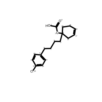 O=C(O)OC1(CCCCc2ccc(Cl)cc2)CC=CCC1